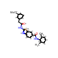 COc1cccc(CC(=O)Nc2nc3ccc(C(=O)Nc4c(C)cccc4C)cc3s2)c1